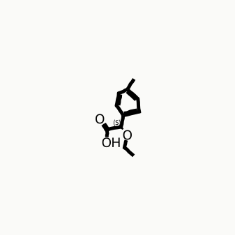 CCO[C@H](C(=O)O)c1ccc(C)cc1